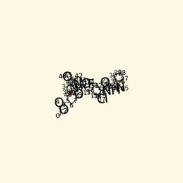 CCOC(=O)[C@H]1CC[C@H](OC(C(=O)Cc2cc(Cl)c(NC(=O)c3cn(C)c4ccccc34)cc2F)(N2CCCC2)N2CC[C@H]2COC)CC1